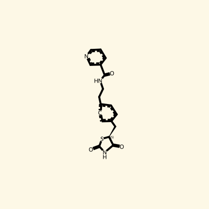 O=C1NC(=O)[C@H](Cc2ccc(CCNC(=O)c3cccnc3)cc2)S1